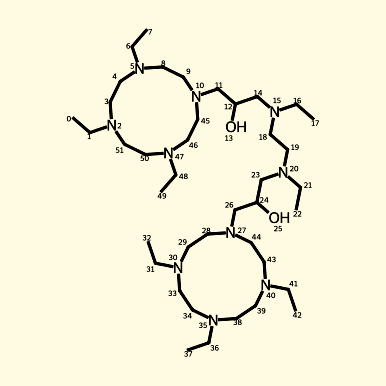 CCN1CCN(CC)CCN(CC(O)CN(CC)CCN(CC)CC(O)CN2CCN(CC)CCN(CC)CCN(CC)CC2)CCN(CC)CC1